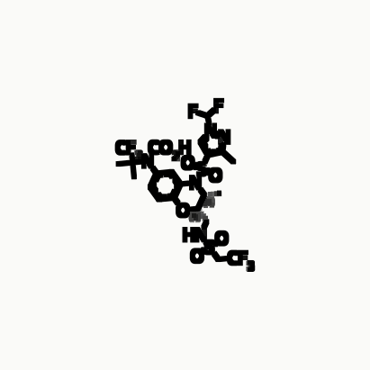 Cc1nn(C(F)F)cc1S(=O)(=O)N1c2cc(N(C(=O)O)C(C)(C)C(F)(F)F)ccc2O[C@@H](CNS(=O)(=O)CC(F)(F)F)[C@H]1C